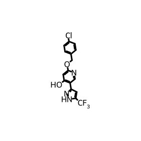 Oc1cc(OCc2ccc(Cl)cc2)ncc1-c1cc(C(F)(F)F)[nH]n1